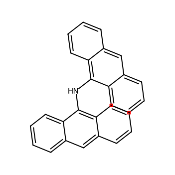 c1ccc2c(Nc3c4ccccc4cc4ccccc34)c3ccccc3cc2c1